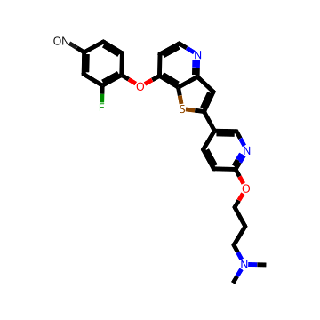 CN(C)CCCOc1ccc(-c2cc3nccc(Oc4ccc(N=O)cc4F)c3s2)cn1